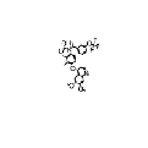 COc1cc2nccc(Oc3ccc(N(C(=O)O)C(C)c4cccc(OC(F)(F)F)c4)c(C)c3C)c2cc1OC